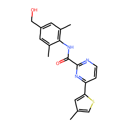 Cc1csc(-c2ccnc(C(=O)Nc3c(C)cc(CO)cc3C)n2)c1